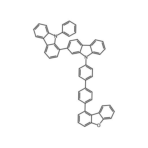 c1ccc(-n2c3ccccc3c3cccc(-c4ccc5c6ccccc6n(-c6ccc(-c7ccc(-c8cccc9oc%10ccccc%10c89)cc7)cc6)c5c4)c32)cc1